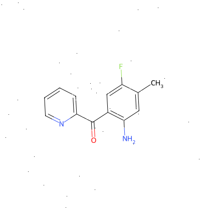 Cc1cc(N)c(C(=O)c2ccccn2)cc1F